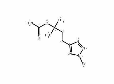 CCn1nnc(CCC(C)(C)OC(N)=O)n1